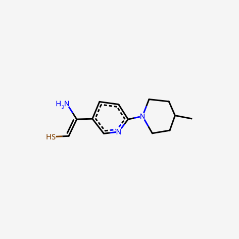 CC1CCN(c2ccc(/C(N)=C/S)cn2)CC1